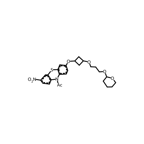 CC(=O)N1c2ccc(OC3CC(OCCCOC4CCCCO4)C3)cc2Sc2cc([N+](=O)[O-])ccc21